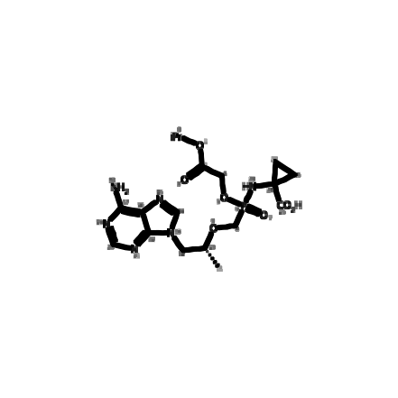 CC(C)OC(=O)COP(=O)(CO[C@H](C)Cn1cnc2c(N)ncnc21)NC1(C(=O)O)CC1